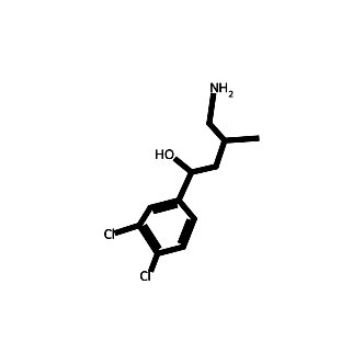 CC(CN)CC(O)c1ccc(Cl)c(Cl)c1